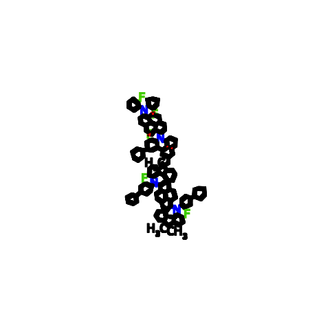 CC1(C)c2ccccc2-c2c(N(c3ccc(-c4ccccc4)cc3F)c3ccc4ccc5c(N(c6ccc(-c7ccccc7)cc6F)c6cccc7c6-c6ccccc6C7(C)Cc6cccc(-c7cc(-c8ccccc8)cc(F)c7N(c7ccccc7)c7ccc8ccc9c(N(c%10ccccc%10F)c%10ccccc%10F)ccc%10ccc7c8c%109)c6)ccc6ccc3c4c65)cccc21